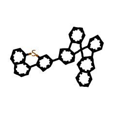 c1ccc2c(c1)-c1cc(-c3ccc4c(c3)Sc3cccc5cccc-4c35)ccc1C21c2ccccc2-c2cc3ccccc3cc21